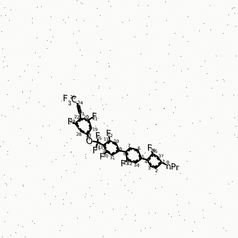 CCCc1ccc(-c2ccc(-c3cc(F)c(C(F)(F)Oc4cc(F)c(C#CC(F)(F)F)c(F)c4)c(F)c3)c(F)c2)c(F)c1